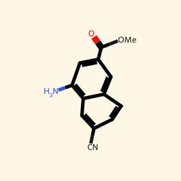 COC(=O)c1cc(N)c2cc(C#N)ccc2c1